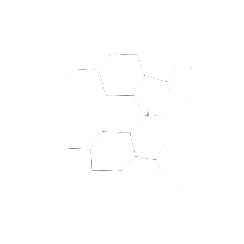 CC1CCC(C(C)C)C([SiH](O)C2CC(C)CCC2C(C)C)C1